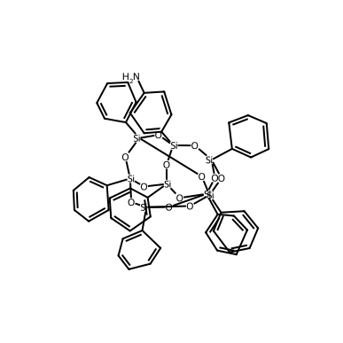 Nc1ccc([Si]23O[Si]4(c5ccccc5)O[Si]5(c6ccccc6)O[Si]6(c7ccccc7)O[Si](c7ccccc7)(O4)O[Si](c4ccccc4)(O[Si](c4ccccc4)(O6)O[Si](c4ccccc4)(O5)O2)O3)cc1